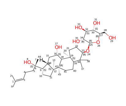 CC(C)=CCC[C@](C)(O)[C@H]1CC[C@@]2(C)[C@H]1C[C@H](O)C1[C@@]3(C)CC[C@@H](O[C@@H]4O[C@H](CO)[C@@H](O)[C@H](O)[C@H]4O)C(C)(C)C3CC[C@]12C